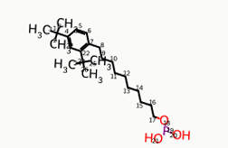 CC(C)(C)c1ccc(CCCCCCCCCCOP(O)O)c(C(C)(C)C)c1